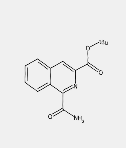 CC(C)(C)OC(=O)c1cc2ccccc2c(C(N)=O)n1